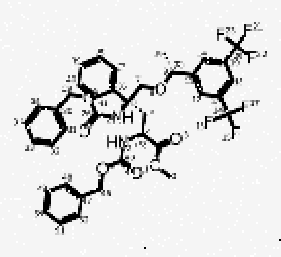 COC(=O)[C@H](C[C@](CO[C@H](C)c1cc(C(F)(F)F)cc(C(F)(F)F)c1)(NC(=O)OCc1ccccc1)c1ccccc1)NC(=O)OCc1ccccc1